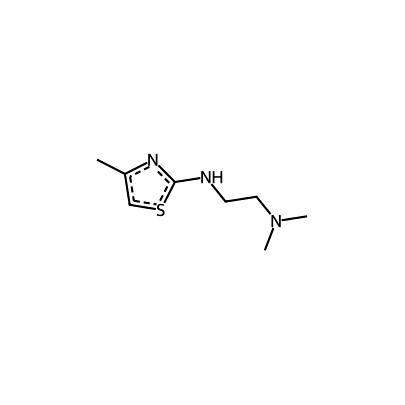 Cc1csc(NCCN(C)C)n1